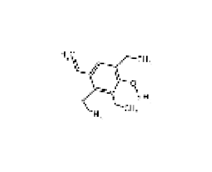 C=Cc1cc(CC)c(O[SiH3])c(CC)c1CC